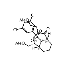 COCCN1C[C@@H](COC)[C@H]2CCC[C@@H](C1=O)N2S(=O)(=O)c1cc(Cl)cc(Cl)c1